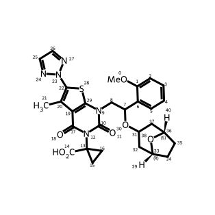 COc1ccccc1C(Cn1c(=O)n(C2(C(=O)O)CC2)c(=O)c2c(C)c(-n3nccn3)sc21)OC1C[C@H]2CC[C@@H](C1)O2